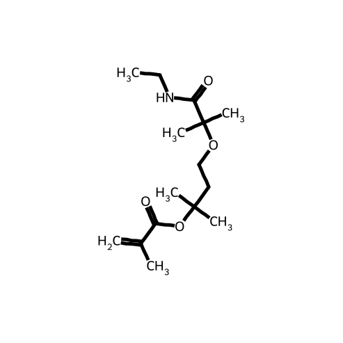 C=C(C)C(=O)OC(C)(C)CCOC(C)(C)C(=O)NCC